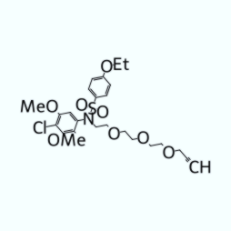 C#CCOCCOCCOCCN(c1cc(OC)c(Cl)cc1OC)S(=O)(=O)c1ccc(OCC)cc1